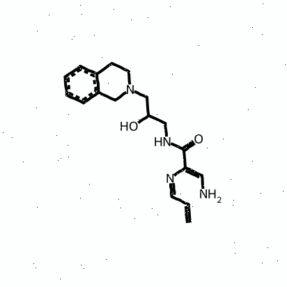 C=C/C=N\C(=C/N)C(=O)NCC(O)CN1CCc2ccccc2C1